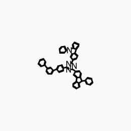 c1ccc(-c2cccc(-c3ccc(-c4nc(-c5ccc6c(c5)-c5ccccc5C6c5ccccc5)nc(-c5ccc6c7ccccc7n(-c7ccccc7)c6c5)n4)cc3)c2)cc1